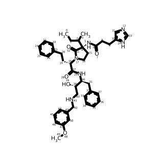 CCC(C)[C@@]1(NC(=O)CCc2cnc[nH]2)CCN([C@@H](CCc2ccccc2)C(=O)N[C@@H](Cc2ccccc2)[C@@H](O)CNCc2cccc(OC)c2)C1=O